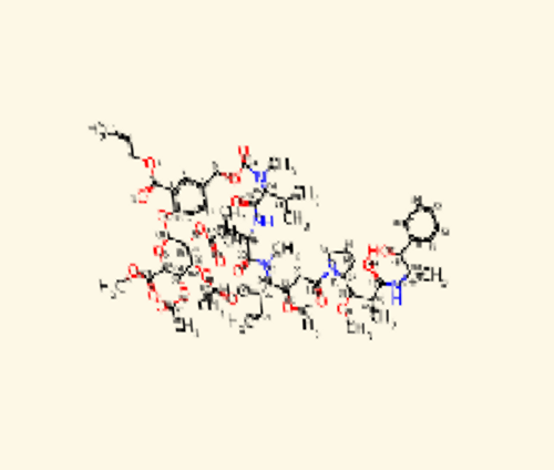 C=CCOC(=O)c1cc(COC(=O)N(C)[C@H](C(=O)N[C@H](C(=O)N(C)[C@@H](C(C)CC)[C@@H](CC(=O)N2CCC[C@H]2C(OC)[C@@H](C)C(=O)N[C@H](C)C(O)c2ccccc2)OC)C(C)C)C(C)C)ccc1OC1OC(C(=O)OC)[C@@H](OC(C)=O)[C@H](OC(C)=O)[C@H]1OC(C)=O